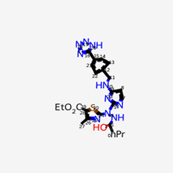 CCCC(O)NN(c1nccc(NCc2ccc(-c3nnn[nH]3)cc2)n1)c1nc(C)c(C(=O)OCC)s1